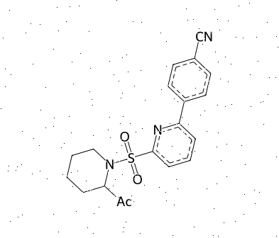 CC(=O)C1CCCCN1S(=O)(=O)c1cccc(-c2ccc(C#N)cc2)n1